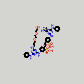 CNc1nc(Nc2ccccc2)nc(Nc2ccc(/C=C/c3ccc(Nc4nc(NCCCOCCOCCO)nc(Nc5ccccc5)n4)cc3S(=O)(=O)O)c(S(=O)(=O)O)c2)n1